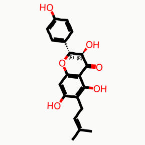 CC(C)=CCc1c(O)cc2c(c1O)C(=O)[C@H](O)[C@@H](c1ccc(O)cc1)O2